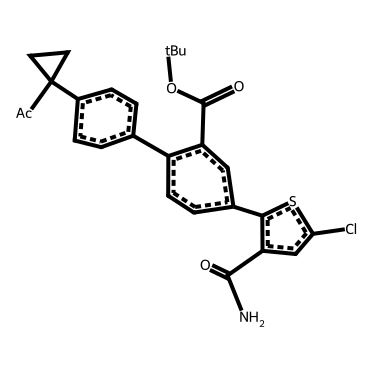 CC(=O)C1(c2ccc(-c3ccc(-c4sc(Cl)cc4C(N)=O)cc3C(=O)OC(C)(C)C)cc2)CC1